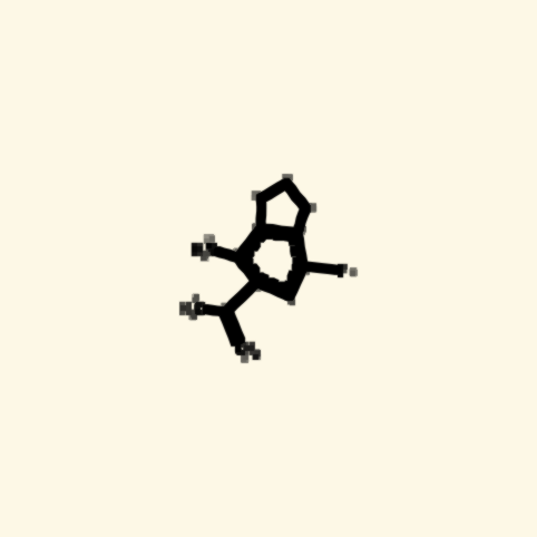 C=C(C)c1cc(F)c2c(c1N)CCC2